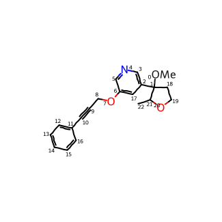 COC1(c2cncc(OCC#Cc3ccccc3)c2)CCOC1C